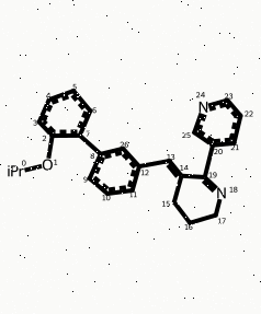 CC(C)Oc1ccccc1-c1cccc(C=C2CCCN=C2c2cccnc2)c1